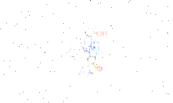 C=C(/C=C(/CC1C=CC=C(C)C1)N(N)c1ccc([S+](N)[O-])cc1F)CN(C)C1CCCCC1O